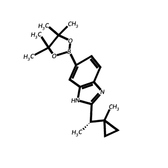 C[C@H](c1nc2ccc(B3OC(C)(C)C(C)(C)O3)cc2[nH]1)C1(C)CC1